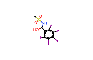 CS(=O)(=O)NC(O)c1c(I)c(I)c(I)c(I)c1I